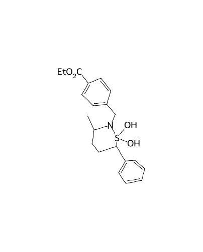 CCOC(=O)c1ccc(CN2C(C)CCC(c3ccccc3)S2(O)O)cc1